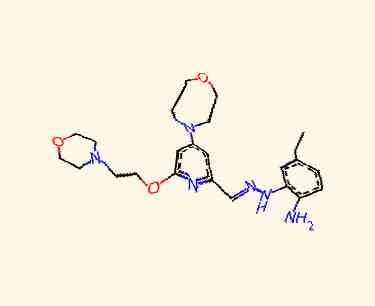 Cc1ccc(N)c(N/N=C/c2cc(N3CCOCC3)cc(OCCN3CCOCC3)n2)c1